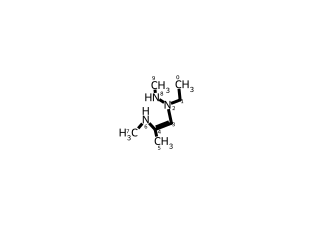 CCN(/C=C(/C)NC)NC